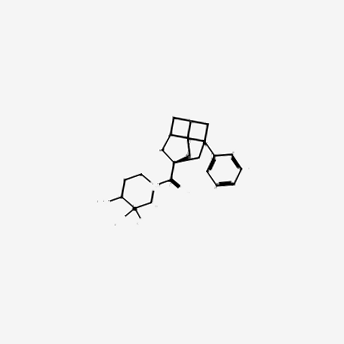 NC1CCN(C(=O)C23CC4CC5CC(c6ccccc6)(C2)C45C3)CC1(F)F